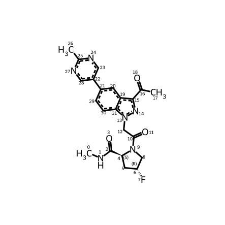 CNC(=O)[C@@H]1C[C@@H](F)CN1C(=O)Cn1nc(C(C)=O)c2cc(-c3cnc(C)nc3)ccc21